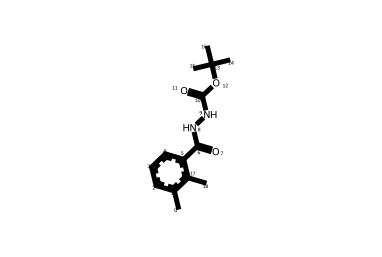 Cc1cccc(C(=O)NNC(=O)OC(C)(C)C)c1C